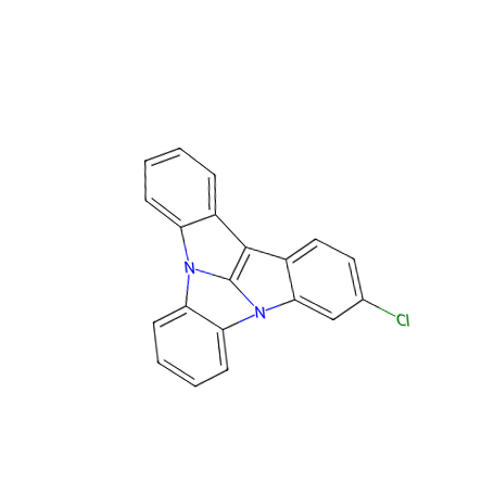 Clc1ccc2c3c4ccccc4n4c5ccccc5n(c2c1)c34